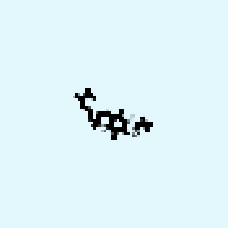 Cc1c(C)c2c(c(C)c1OC(=O)C(C)(C)C)CCC(C)(CCCC(C)C(C)C)O2